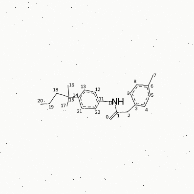 C=C(Cc1ccc(C)cc1)Nc1ccc(C(C)(C)CCC)cc1